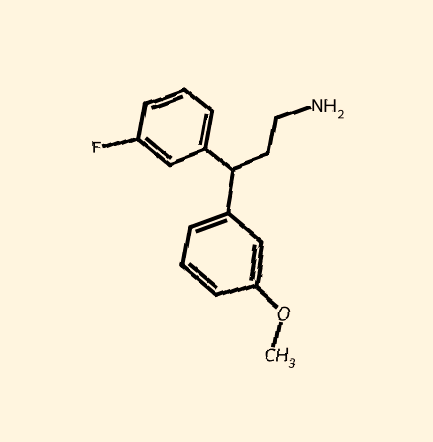 COc1cccc(C(CCN)c2cccc(F)c2)c1